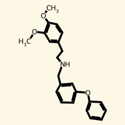 COc1ccc(CCNCc2cccc(Oc3ccccc3)c2)cc1OC